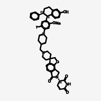 COc1cc(N2CCC(CN3CCC4(CC3)COc3c4ccc4c3CN([C@H]3CCC(=O)NC3=O)C4=O)CC2)c(F)cc1[C@@H]1c2ccc(O)cc2CC[C@@H]1c1ccccc1